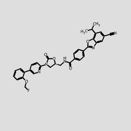 CC(C)c1cc(C#N)cc2nc(-c3ccc(C(=O)NC[C@H]4CN(c5ccc(-c6ccccc6OCF)cn5)C(=O)O4)cc3)oc12